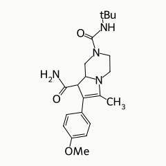 COc1ccc(C2=C(C)N3CCN(C(=O)NC(C)(C)C)CC3C2C(N)=O)cc1